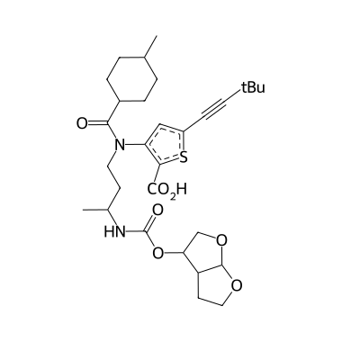 CC1CCC(C(=O)N(CCC(C)NC(=O)OC2COC3OCCC23)c2cc(C#CC(C)(C)C)sc2C(=O)O)CC1